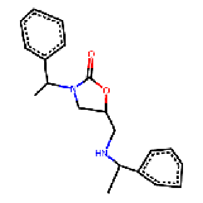 CC(NCC1CN(C(C)c2ccccc2)C(=O)O1)c1ccccc1